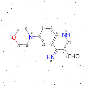 N=c1c(C=O)c[nH]c2ccc(N3CCOCC3)cc12